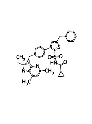 CCc1nc2c(C)cc(C)nc2n1Cc1ccc(-c2cc(Cc3ccccc3)sc2S(=O)(=O)NC(=O)C2CC2)cc1